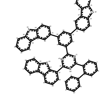 c1ccc(-c2ccccc2-c2nc(-c3cc(-c4ccc5sc6ccccc6c5c4)cc(-c4ccc5sc6ccccc6c5c4)c3)nc(-c3cccc4c3sc3ccccc34)n2)cc1